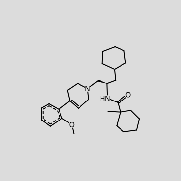 COc1ccccc1C1=CCN(C[C@@H](CC2CCCCC2)NC(=O)C2(C)CCCCC2)CC1